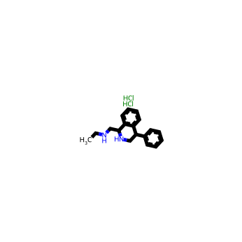 CCNCC1NCC(c2ccccc2)c2ccccc21.Cl.Cl